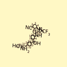 N#Cc1cccc(-n2nc(C(F)(F)F)cc2C(=O)Nc2cccc(C(O)c3ccc(CCC(N)CO)cc3)c2)c1